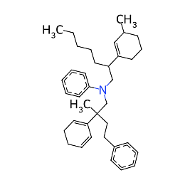 CCCCCC(CN(CC(C)(CCc1ccccc1)C1=CCCC=C1)c1ccccc1)C1=CC(C)CCC1